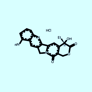 CCCc1cccc2nc3c(cc12)Cn1c-3cc2c(c1=O)COC(=O)[C@]2(O)CC.Cl